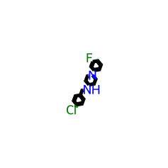 Fc1cccc(N2CCC(NCc3ccc(Cl)cc3)CC2)c1